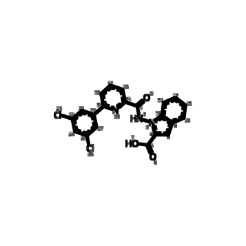 O=C(Nn1c(C(=O)O)cc2ccccc21)c1cccc(-c2cc(Cl)cc(Cl)c2)n1